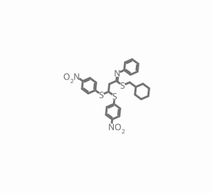 O=[N+]([O-])c1ccc(SC(CC(=Nc2ccccc2)SCC2CCCCC2)Sc2ccc([N+](=O)[O-])cc2)cc1